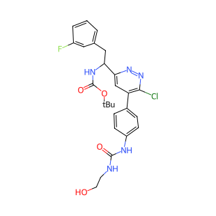 CC(C)(C)OC(=O)NC(Cc1cccc(F)c1)c1cc(-c2ccc(NC(=O)NCCO)cc2)c(Cl)nn1